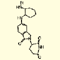 CCNC1CCCCC1Nc1ccc2c(c1)CN(C1CCC(=O)NC1=O)C2=O